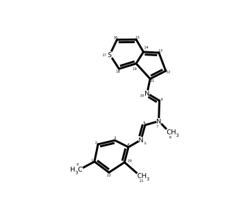 Cc1ccc(N=CN(C)C=Nc2ccc3ccscc2-3)c(C)c1